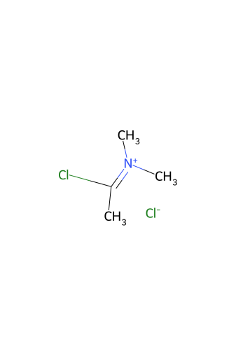 CC(Cl)=[N+](C)C.[Cl-]